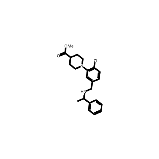 COC(=O)C1CCN(c2cc(CNC(C)c3ccccc3)ccc2Cl)CC1